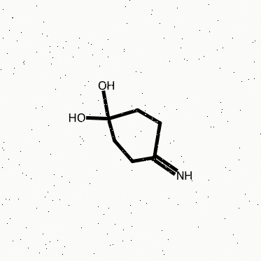 N=C1CCC(O)(O)CC1